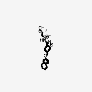 COCC[S+]([O-])Nc1noc2cc(COc3ccc4c(c3)CCCC4)ccc12